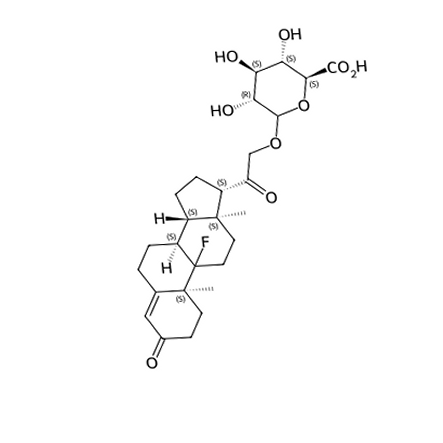 C[C@]12CCC3(F)[C@@H](CCC4=CC(=O)CC[C@@]43C)[C@@H]1CC[C@@H]2C(=O)COC1O[C@H](C(=O)O)[C@@H](O)[C@H](O)[C@H]1O